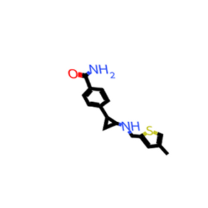 Cc1csc(CNC2CC2c2ccc(C(N)=O)cc2)c1